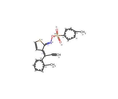 C#C/C(=C1/C=CS/C1=N\OS(=O)(=O)c1ccc(C)cc1)c1ccccc1C